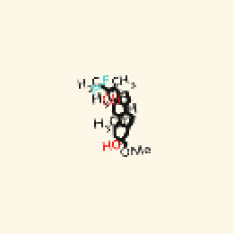 COC[C@]1(O)CC[C@@]2(C)C(=CC[C@H]3[C@@H]4CC[C@H]([C@H](C)[C@@H](O)C(C)(F)F)[C@@]4(C)CC[C@@H]32)C1